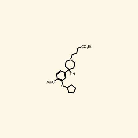 CCOC(=O)CCCN1CCC(C#N)(c2ccc(OC)c(OC3CCCC3)c2)CC1